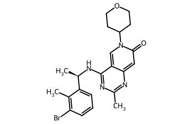 Cc1nc(N[C@H](C)c2cccc(Br)c2C)c2cn(C3CCOCC3)c(=O)cc2n1